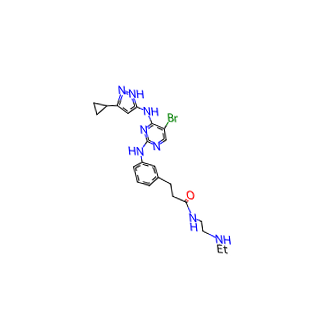 CCNCCNC(=O)CCc1cccc(Nc2ncc(Br)c(Nc3cc(C4CC4)n[nH]3)n2)c1